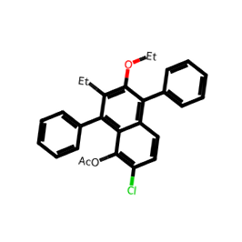 CCOc1c(CC)c(-c2ccccc2)c2c(OC(C)=O)c(Cl)ccc2c1-c1ccccc1